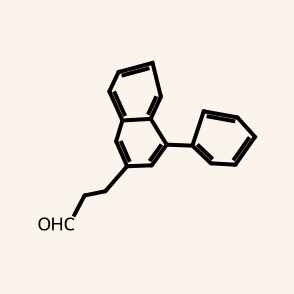 O=CCCc1cc(-c2ccccc2)c2ccccc2c1